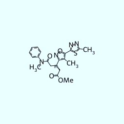 COC(=O)C[C@@H](CC(=O)N(C)c1ccccc1)c1noc(-c2nnc(C)s2)c1C